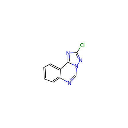 Clc1nc2c3ccccc3ncn2n1